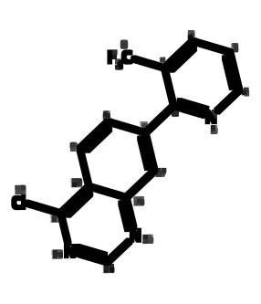 FC(F)(F)c1cccnc1-c1ccc2c(Cl)ncnc2c1